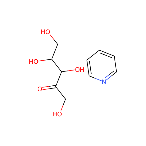 O=C(CO)C(O)C(O)CO.c1ccncc1